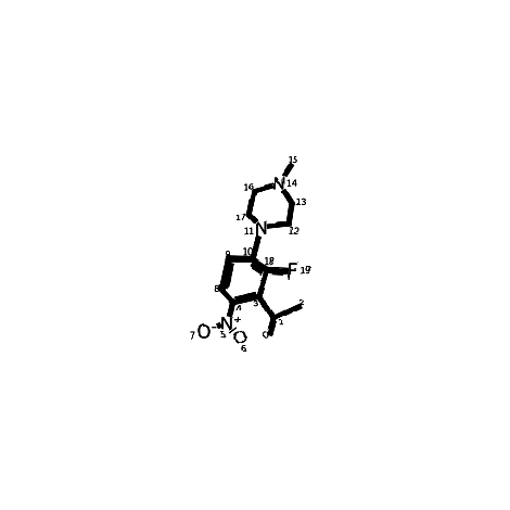 CC(C)c1c([N+](=O)[O-])ccc(N2CCN(C)CC2)c1F